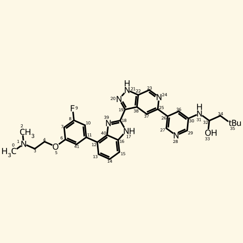 CN(C)CCOc1cc(F)cc(-c2cccc3[nH]c(-c4n[nH]c5cnc(-c6cncc(NC(O)CC(C)(C)C)c6)cc45)nc23)c1